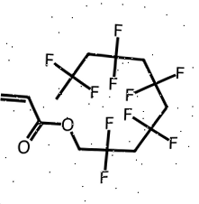 C=CC(=O)OCC(F)(F)CC(F)(F)CC(F)(F)CC(F)(F)CC(C)(F)F